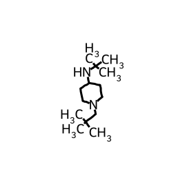 CC(C)(C)CN1CCC(NC(C)(C)C)CC1